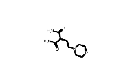 NC(=O)C(CCN1CCOCC1)C(N)=O